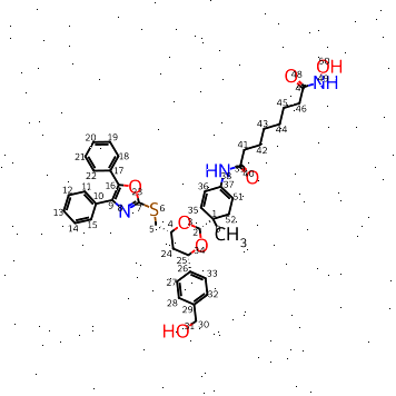 CC1([C@H]2O[C@@H](CSc3nc(-c4ccccc4)c(-c4ccccc4)o3)C[C@@H](c3ccc(CO)cc3)O2)C=CC(NC(=O)CCCCCCC(=O)NO)=CC1